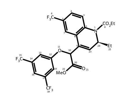 CCOC(=O)N1c2ccc(C(F)(F)F)cc2C(C(Oc2cc(C(F)(F)F)cc(C(F)(F)F)c2)C(=O)OC)=C[C@@H]1CC